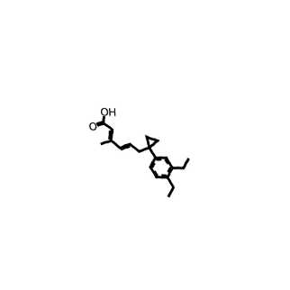 CCc1ccc(C2(CC=CC(C)=CC(=O)O)CC2)cc1CC